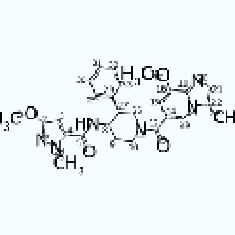 COc1cc(C(=O)N[C@@H]2CCN(C(=O)c3cc(OC)c4ncc(C)n4c3)C[C@@H]2c2ccccc2)n(C)n1